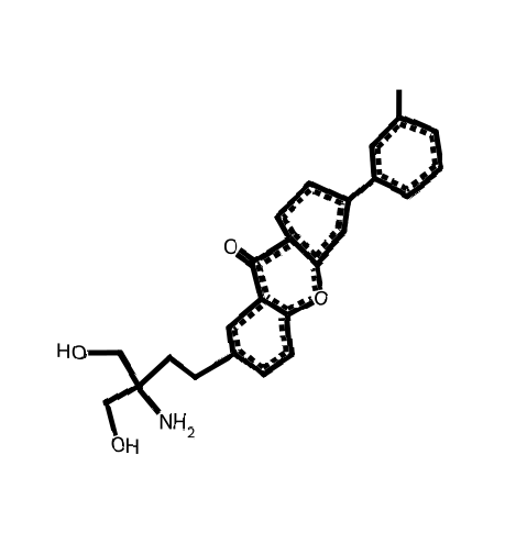 Cc1cccc(-c2ccc3c(=O)c4cc(CCC(N)(CO)CO)ccc4oc3c2)c1